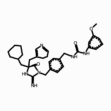 COc1cccc(NC(=O)NCc2ccc(CN3C(=N)NC(CC4=CN=CCC4)(CC4CCCCC4)C3=O)cc2)c1